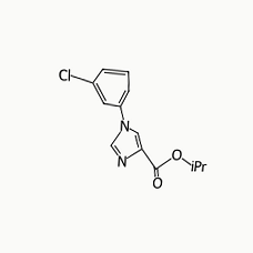 CC(C)OC(=O)c1cn(-c2cccc(Cl)c2)cn1